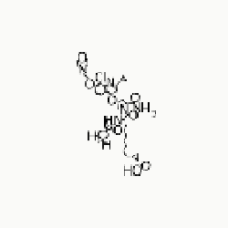 NC(=O)[C@@H]1CC(Oc2cc(C3CC3)nc3c(Cl)c(OCCN4CCOCC4)ccc23)CN1C(=O)[C@H](CCCCC/C=C\[C@@H]1C[C@@H]1C(=O)O)NC(=O)O[C@@H]1C[C@@H]2C[C@@H]2C1